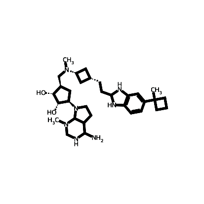 CN1CNC(N)C2CCN([C@@H]3C[C@H](CN(C)[C@H]4C[C@@H](CCC5Nc6ccc(C7(C)CCC7)cc6N5)C4)[C@@H](O)[C@H]3O)C21